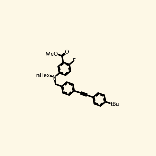 CCCCCCN(Cc1ccc(C#Cc2ccc(C(C)(C)C)cc2)cc1)c1ccc(F)c(C(=O)OC)c1